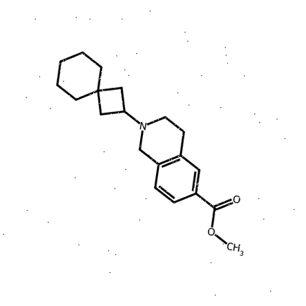 COC(=O)c1ccc2c(c1)CCN(C1CC3(CCCCC3)C1)C2